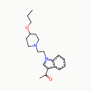 CCCOC1CCN(CCn2cc(C(C)=O)c3ccccc32)CC1